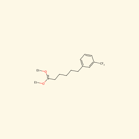 CCO[SiH](CCCCCc1cccc(C(F)(F)F)c1)OCC